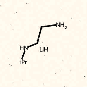 CC(C)NCCN.[LiH]